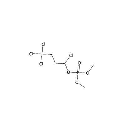 COP(=O)(OC)OC(Cl)CCC(Cl)(Cl)Cl